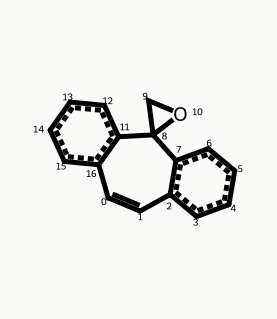 C1=Cc2ccccc2C2(CO2)c2ccccc21